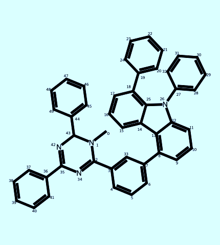 CN1C(c2cccc(-c3cccc4c3c3cccc(-c5ccccc5)c3n4-c3ccccc3)c2)=NC(c2ccccc2)=NC1c1ccccc1